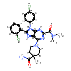 CN(C)C(=O)c1nc(N2CCC(C)(C(N)=O)CC2)c2nc(-c3ccccc3Cl)n(-c3ccc(Cl)cc3)c2n1